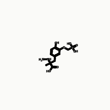 CC(Cc1ccc(O)c(OCP(=O)(O)O)c1)(NN)C(=O)O